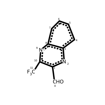 O=Cc1nc2ccccc2nc1C(F)(F)F